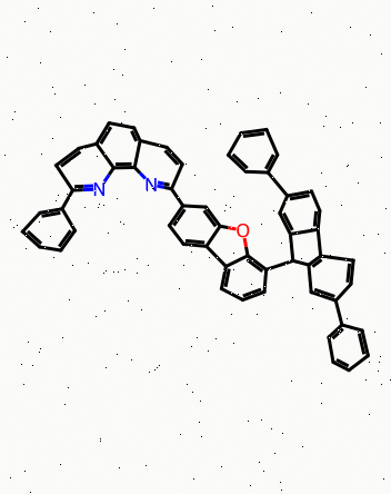 c1ccc(-c2ccc3c(c2)C(c2cccc4c2oc2cc(-c5ccc6ccc7ccc(-c8ccccc8)nc7c6n5)ccc24)c2cc(-c4ccccc4)ccc2-3)cc1